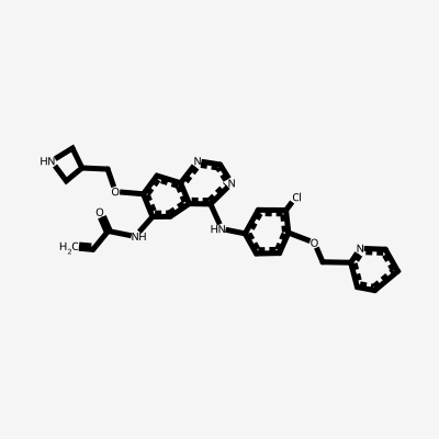 C=CC(=O)Nc1cc2c(Nc3ccc(OCc4ccccn4)c(Cl)c3)ncnc2cc1OCC1CNC1